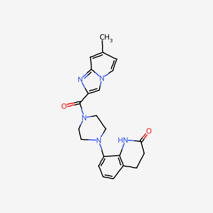 Cc1ccn2cc(C(=O)N3CCN(c4cccc5c4NC(=O)CC5)CC3)nc2c1